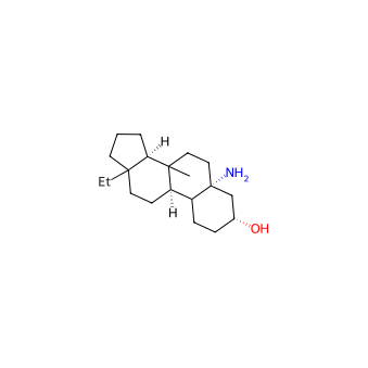 CCC12CCC[C@H]1C1(C)CC[C@@]3(N)C[C@H](O)CCC3[C@H]1CC2